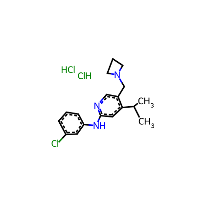 CC(C)c1cc(Nc2cccc(Cl)c2)ncc1CN1CCC1.Cl.Cl